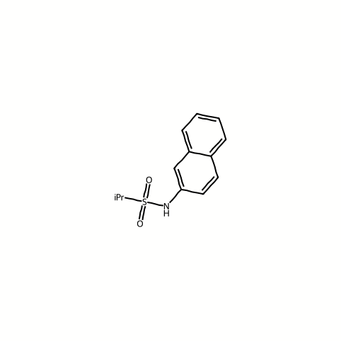 CC(C)S(=O)(=O)Nc1ccc2ccccc2c1